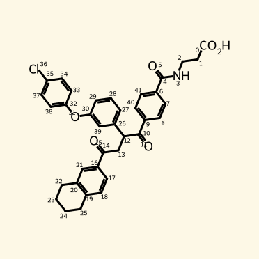 O=C(O)CCNC(=O)c1ccc(C(=O)C(CC(=O)c2ccc3c(c2)CCCC3)c2cccc(Oc3ccc(Cl)cc3)c2)cc1